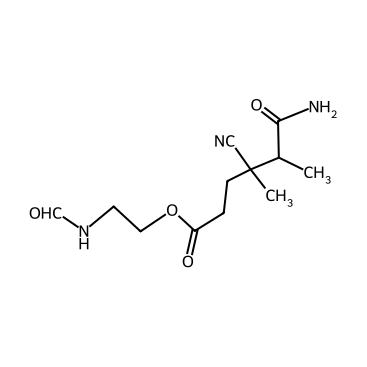 CC(C(N)=O)C(C)(C#N)CCC(=O)OCCNC=O